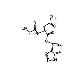 CC(C)(C)OC(=O)N[C@@H](CC(N)=O)C(=O)Oc1cccc2[nH]nnc12